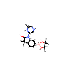 Cc1cncc(N2C(=O)C(C)(C)c3ccc(B4OC(C)(C)C(C)(C)O4)cc32)n1